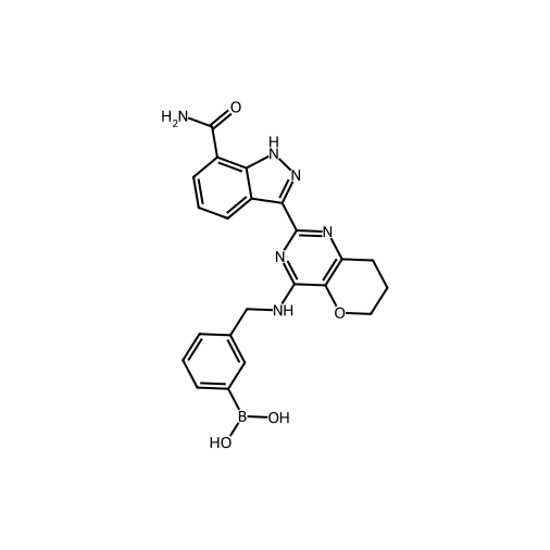 NC(=O)c1cccc2c(-c3nc4c(c(NCc5cccc(B(O)O)c5)n3)OCCC4)n[nH]c12